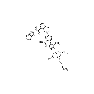 COCCOC12CC(C)CC(Cn3ncc(-c4ccc(N5CCc6cccc(C(=O)Nc7nc8ccccc8s7)c6C5)nc4C(=O)O)c3C)(CC(C)C1)C2